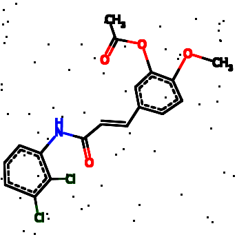 COc1ccc(C=CC(=O)Nc2cccc(Cl)c2Cl)cc1OC(C)=O